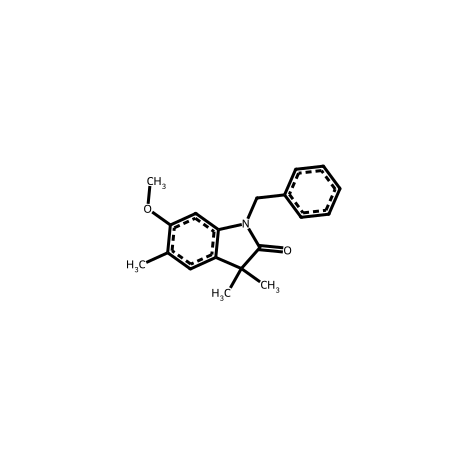 COc1cc2c(cc1C)C(C)(C)C(=O)N2Cc1ccccc1